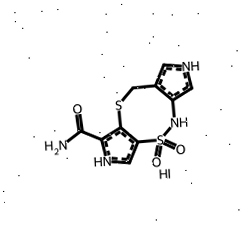 I.NC(=O)c1[nH]cc2c1SCc1c[nH]cc1NS2(=O)=O